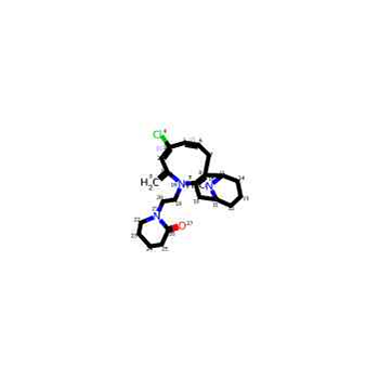 C=C1/C=C(Cl)\C=C/CC2=C(CC3CCCC2N3C)N1CCN1CCCCC1=O